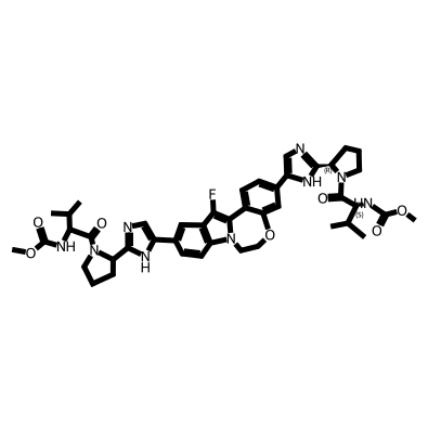 COC(=O)NC(C(=O)N1CCCC1c1ncc(-c2ccc3c(c2)c(F)c2n3CCOc3cc(-c4cnc([C@H]5CCCN5C(=O)[C@@H](NC(=O)OC)C(C)C)[nH]4)ccc3-2)[nH]1)C(C)C